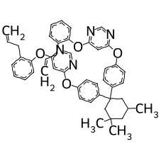 C=CCc1ccccc1Oc1cc(Oc2ccc(C3(c4ccc(Oc5cc(Oc6ccccc6CC=C)ncn5)cc4)CC(C)CC(C)(C)C3)cc2)ncn1